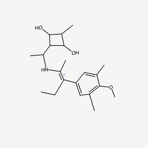 CC/C(=C(/C)NC(C)C1C(O)C(C)C1O)c1cc(C)c(OC)c(C)c1